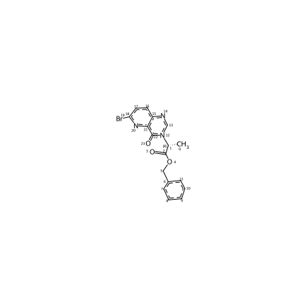 C[C@H](C(=O)OCc1ccccc1)n1cnc2ccc(Br)nc2c1=O